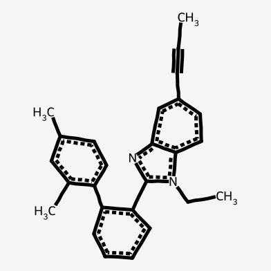 CC#Cc1ccc2c(c1)nc(-c1ccccc1-c1ccc(C)cc1C)n2CC